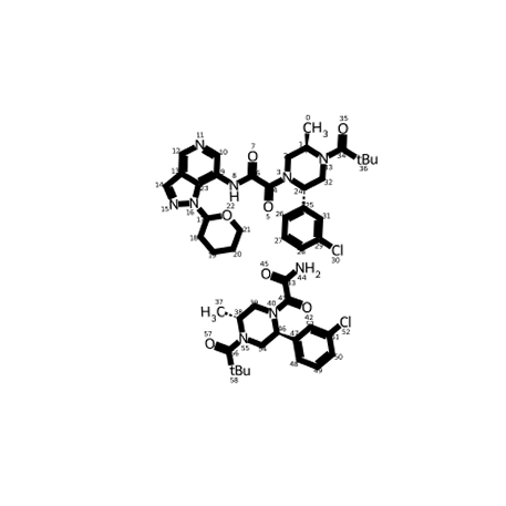 C[C@@H]1CN(C(=O)C(=O)Nc2cncc3cnn(C4CCCCO4)c23)[C@@H](c2cccc(Cl)c2)CN1C(=O)C(C)(C)C.C[C@@H]1CN(C(=O)C(N)=O)[C@@H](c2cccc(Cl)c2)CN1C(=O)C(C)(C)C